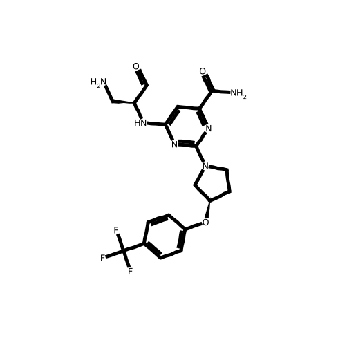 NC[C@@H](C=O)Nc1cc(C(N)=O)nc(N2CC[C@@H](Oc3ccc(C(F)(F)F)cc3)C2)n1